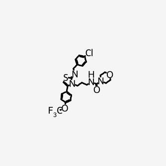 O=C(NCCCn1c(-c2ccc(OC(F)(F)F)cc2)cs/c1=N\Cc1ccc(Cl)cc1)N1CCOCC1